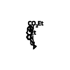 CCOC(=O)c1cn(Cc2ccc(N3CC4(CC4)C3)nc2CC)nn1